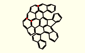 c1ccc2c(c1)-c1c(-c3cccc4ccccc34)c(-c3cccc4ccccc34)c(-c3cccc4ccccc34)c3c(-c4cccc5ccccc45)c4ccccc4c-2c13